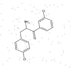 BC(Cc1ccc(Cl)cc1)C(=O)c1cccc(Cl)c1